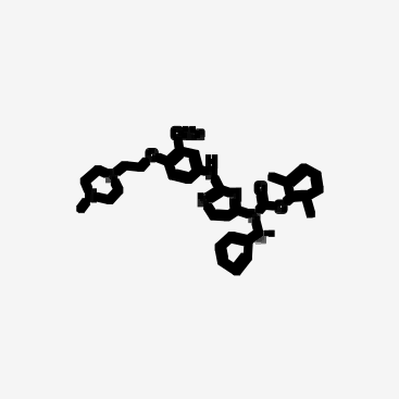 COc1cc(Nc2nccc(N(C(=O)Oc3c(C)cccc3C)[C@H](C)c3ccccc3)n2)ccc1OCCN1CCN(C)CC1